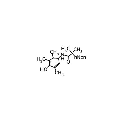 CCCCCCCCCC(C)(C)C(=O)Nc1cc(C)c(O)c(C)c1C